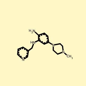 CN1CCN(c2ccc(N)c(NCc3cccnc3)c2)CC1